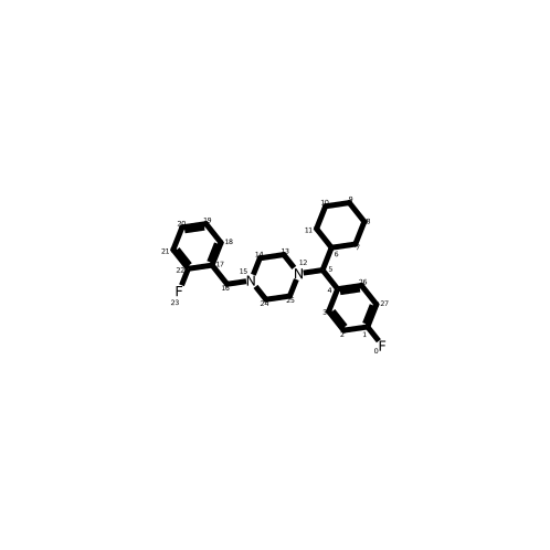 Fc1ccc(C(C2CCCCC2)N2CCN(Cc3ccccc3F)CC2)cc1